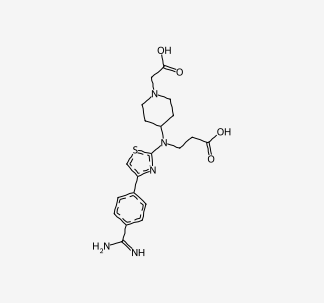 N=C(N)c1ccc(-c2csc(N(CCC(=O)O)C3CCN(CC(=O)O)CC3)n2)cc1